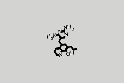 C=CCc1cc(Cc2cnc(N)nc2N)c2cccnc2c1O